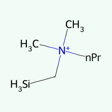 CCC[N+](C)(C)C[SiH3]